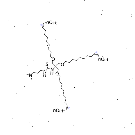 CCCCCCCC/C=C\CCCCCCCCOCC(COCCCCCCCC/C=C\CCCCCCCC)(COCCCCCCCC/C=C\CCCCCCCC)NC(=S)NCCCN(C)C